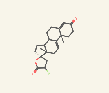 C[C@]12CCC(=O)C=C1CCC1C2=CC[C@@]2(C)C1CC[C@@]21CC(F)C(=O)O1